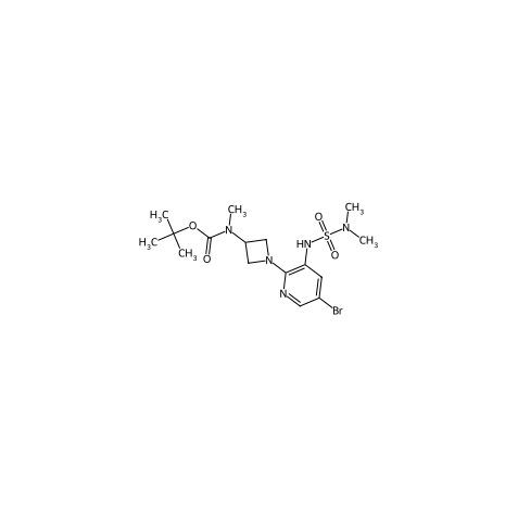 CN(C(=O)OC(C)(C)C)C1CN(c2ncc(Br)cc2NS(=O)(=O)N(C)C)C1